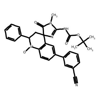 CN1C(=O)C2(CC(c3ccccc3)[S+]([O-])c3ccc(-c4cccc(C#N)c4)cc32)N=C1NC(=O)OC(C)(C)C